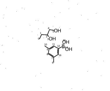 CCC(O)CO.Cc1cc(C)cc(B(O)O)c1